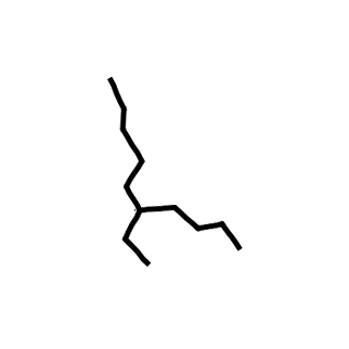 CCCCC[C](CC)CCCC